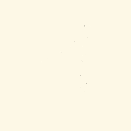 COc1ccc2c(c1)CCN(C1CCN(C(=O)O[C@H](Cc3cc(C)c4[nH]ncc4c3)C(=O)N3CCN(C4CCN(C)CC4)CC3)CC1)C(=O)N2